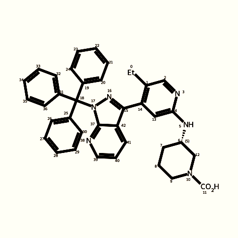 CCc1cnc(N[C@H]2CCCN(C(=O)O)C2)cc1-c1nn(C(c2ccccc2)(c2ccccc2)c2ccccc2)c2ncccc12